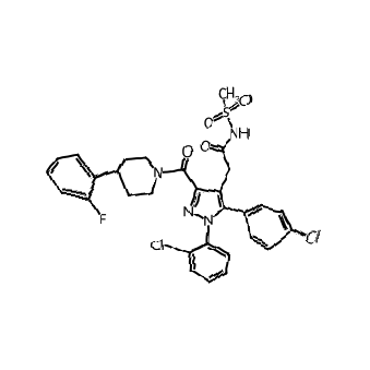 CS(=O)(=O)NC(=O)Cc1c(C(=O)N2CCC(c3ccccc3F)CC2)nn(-c2ccccc2Cl)c1-c1ccc(Cl)cc1